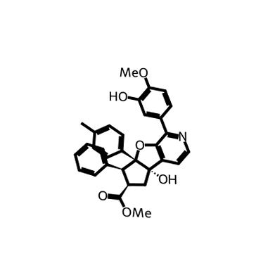 COC(=O)[C@@H]1C[C@]2(O)c3ccnc(-c4ccc(OC)c(O)c4)c3O[C@@]2(c2ccc(C)cc2)[C@@H]1c1ccccc1